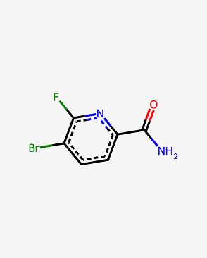 NC(=O)c1ccc(Br)c(F)n1